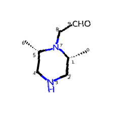 C[C@@H]1CNC[C@H](C)N1CC=O